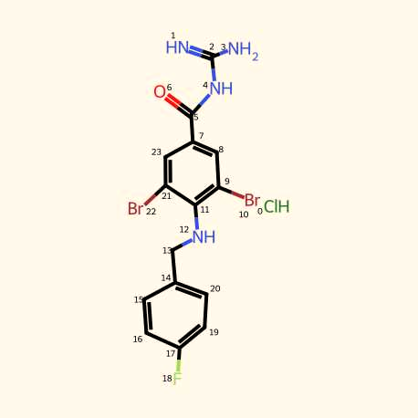 Cl.N=C(N)NC(=O)c1cc(Br)c(NCc2ccc(F)cc2)c(Br)c1